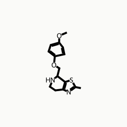 COc1ccc(OCC2NCCc3nc(C)sc32)cc1